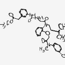 COC(=O)Cc1cccc(NC(=O)NCC(=O)N(CCC(C)C)c2ccccc2OCC(=O)N(C)c2cccc(Cl)c2)c1